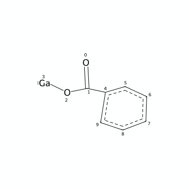 O=C([O][Ga])c1ccccc1